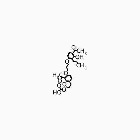 CCCc1c(OCCCOc2ccc3c(c2C(C)=O)OC(OC(=O)O)CC3)ccc(C(C)=O)c1O